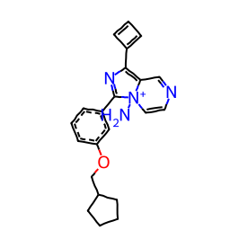 N[N+]12C=CN=CC1=C(C1=CC=C1)N=C2c1cccc(OCC2CCCC2)c1